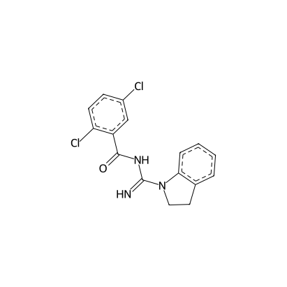 N=C(NC(=O)c1cc(Cl)ccc1Cl)N1CCc2ccccc21